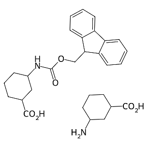 NC1CCCC(C(=O)O)C1.O=C(NC1CCCC(C(=O)O)C1)OCC1c2ccccc2-c2ccccc21